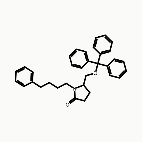 O=C1CCC(COC(c2ccccc2)(c2ccccc2)c2ccccc2)N1CCCCc1ccccc1